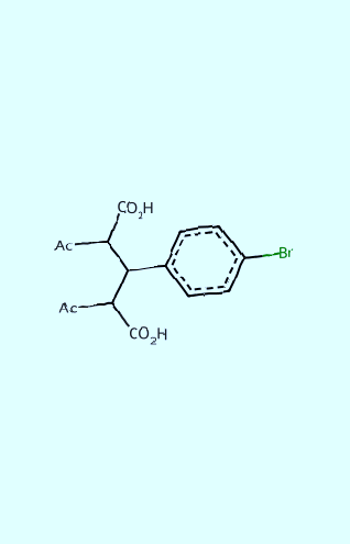 CC(=O)C(C(=O)O)C(c1ccc(Br)cc1)C(C(C)=O)C(=O)O